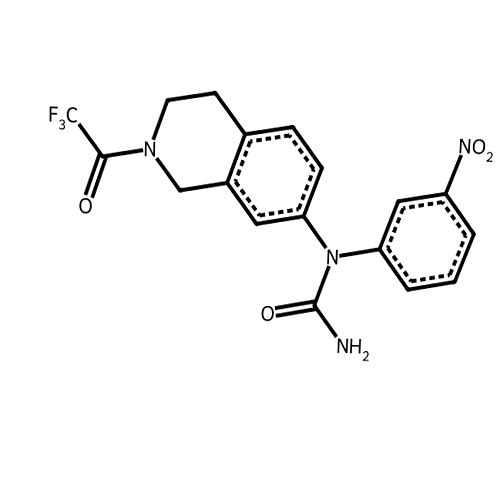 NC(=O)N(c1cccc([N+](=O)[O-])c1)c1ccc2c(c1)CN(C(=O)C(F)(F)F)CC2